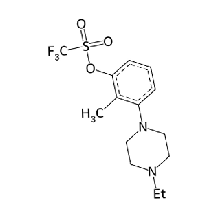 CCN1CCN(c2cccc(OS(=O)(=O)C(F)(F)F)c2C)CC1